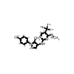 CNc1nc(Nc2cnn(-c3ccc(Cl)cc3)c2C)ncc1C(F)(F)F